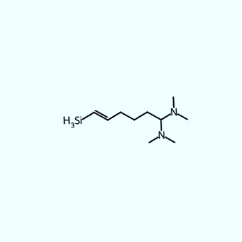 CN(C)C(CCCC=C[SiH3])N(C)C